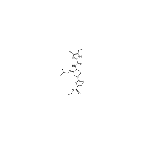 CCOC(=O)c1cnc(N2CCC(NC(=O)c3nc(Cl)c(CC)[nH]3)C(OCC(C)C)C2)s1